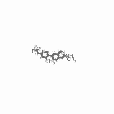 CNc1cc2ccc(-c3cnc(CC(F)(F)F)cc3C)cc2cn1